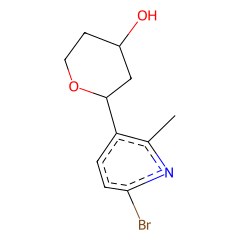 Cc1nc(Br)ccc1C1CC(O)CCO1